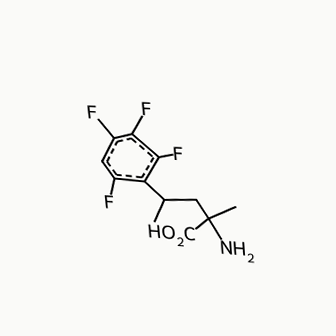 CC(CC(C)(N)C(=O)O)c1c(F)cc(F)c(F)c1F